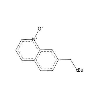 CC(C)(C)Cc1ccc2ccc[n+]([O-])c2c1